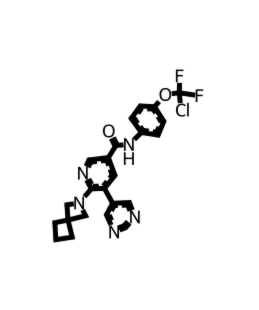 O=C(Nc1ccc(OC(F)(F)Cl)cc1)c1cnc(N2CC3(CCC3)C2)c(-c2cncnc2)c1